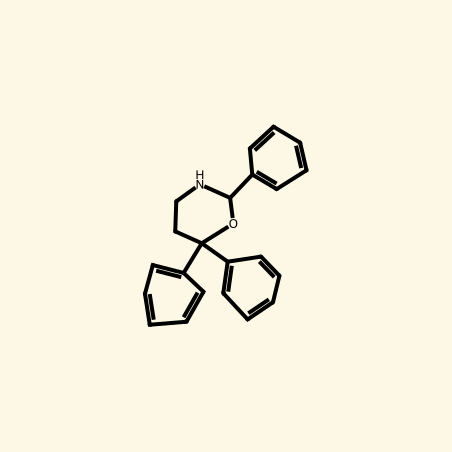 c1ccc(C2NCCC(c3ccccc3)(c3ccccc3)O2)cc1